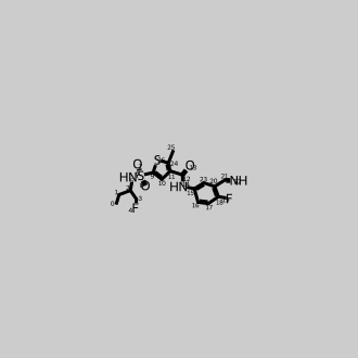 CCC(CF)NS(=O)(=O)c1cc(C(=O)Nc2ccc(F)c(C=N)c2)c(C)s1